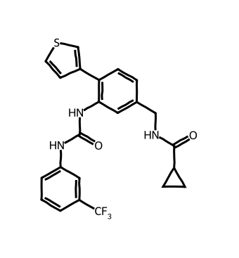 O=C(Nc1cccc(C(F)(F)F)c1)Nc1cc(CNC(=O)C2CC2)ccc1-c1ccsc1